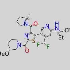 CC[C@H](Nc1cc(C(F)F)c(-c2sc(C(=O)N3CCCC(OC)C3)nc2C(=O)N2CCC[C@@H]2C)cn1)C(F)(F)F